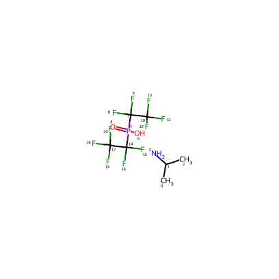 CC(C)N.O=P(O)(C(F)(F)C(F)(F)F)C(F)(F)C(F)(F)F